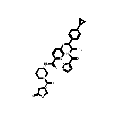 CC(NC(=O)c1ccns1)C(Oc1ccc(C(=O)N[C@H]2CCCN(C(=O)[C@H]3COC(=O)C3)C2)nc1)c1ccc(C2CC2)cc1